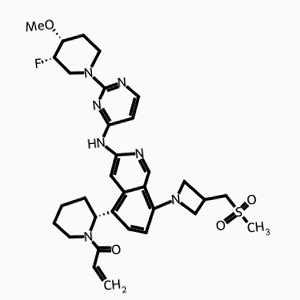 C=CC(=O)N1CCCC[C@@H]1c1ccc(N2CC(CS(C)(=O)=O)C2)c2cnc(Nc3ccnc(N4CC[C@@H](OC)[C@@H](F)C4)n3)cc12